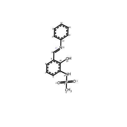 CS(=O)(=O)Nc1cccc(/C=N/c2ccccc2)c1O